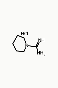 Cl.N=C(N)N1CCCCC1